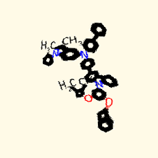 C=CC1=C(C=C)C(Oc2cc(OC3Cc4ccccc43)cc(-n3c4ccccc4c4cc(-c5ccc(N(c6ccc(-c7ccccc7)cc6)c6ccc7c(c6)c(C)c(C)n7-c6ccccc6)cc5)ccc43)c2)C1